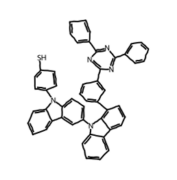 Sc1ccc(-n2c3ccccc3c3cc(-n4c5ccccc5c5cccc(-c6cccc(-c7nc(-c8ccccc8)nc(-c8ccccc8)n7)c6)c54)ccc32)cc1